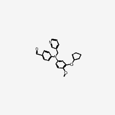 COc1ccc(N(Cc2cccnc2)c2ccc(C=O)cc2)cc1OC1CCCC1